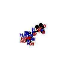 N=C(N)NCCC[C@H](NC(=O)CCC(=O)OC[N+]1(c2cc(=O)c3cccc(-c4ccccc4)c3o2)CCOCC1)C(=O)NCC(=O)N[C@@H](CCO)C(=O)N[C@@H](CO)C(O)O